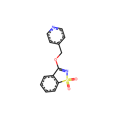 O=S1(=O)N=C(OCc2ccncc2)c2ccccc21